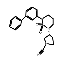 N#CN1CC[C@@H](N2CCCN(c3cccc(-c4ccccc4)c3)S2(=O)=O)C1